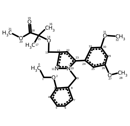 CCOc1ccccc1Cn1nc(COC(C)(C)C(=O)OC)cc1-c1cc(OC)cc(OC)c1